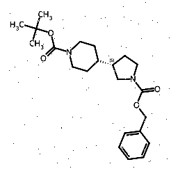 CC(C)(C)OC(=O)N1CCC([C@@H]2CCN(C(=O)OCc3ccccc3)C2)CC1